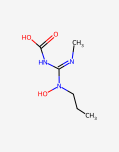 CCCN(O)C(=NC)NC(=O)O